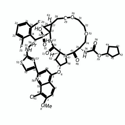 COc1ccc2c(O[C@@H]3C[C@H]4C(=O)N[C@]5(P(=O)(O)Cc6c(F)cccc6F)C[C@H]5CCOCCOC[C@H](NC(=O)OC5CCCC5)C(=O)N4C3)cc(-c3csc(NC(C)C)n3)nc2c1Cl